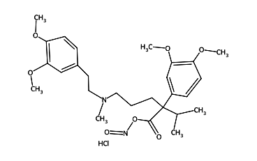 COc1ccc(CCN(C)CCCC(C(=O)ON=O)(c2ccc(OC)c(OC)c2)C(C)C)cc1OC.Cl